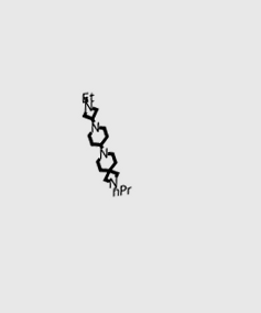 CCCN1CC2(CCN(C3CCN(C4CN(CC)C4)CC3)CC2)C1